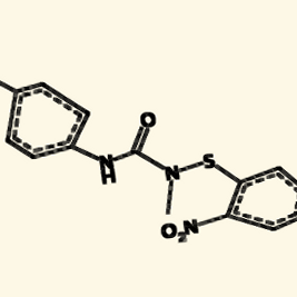 CN(Sc1ccccc1[N+](=O)[O-])C(=O)Nc1ccc(F)cc1